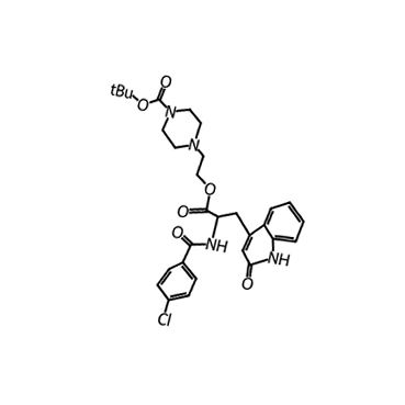 CC(C)(C)OC(=O)N1CCN(CCOC(=O)C(Cc2cc(=O)[nH]c3ccccc23)NC(=O)c2ccc(Cl)cc2)CC1